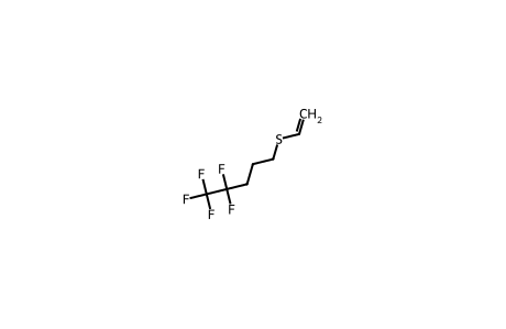 C=CSCCCC(F)(F)C(F)(F)F